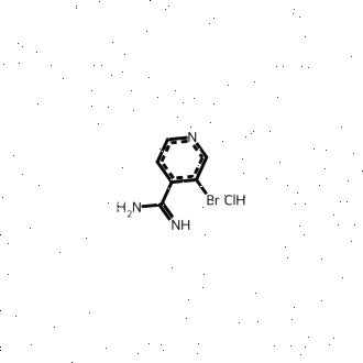 Cl.N=C(N)c1ccncc1Br